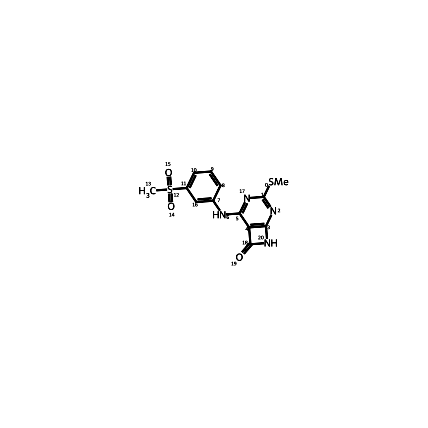 CSc1nc2c(c(Nc3cccc(S(C)(=O)=O)c3)n1)C(=O)N2